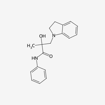 CC(O)(CN1CCc2ccccc21)C(=O)Nc1ccccc1